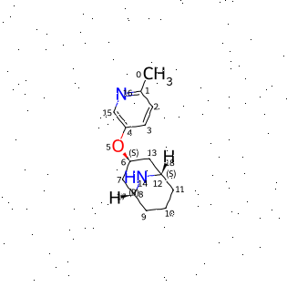 Cc1ccc(O[C@@H]2C[C@H]3CCC[C@@H](C2)N3)cn1